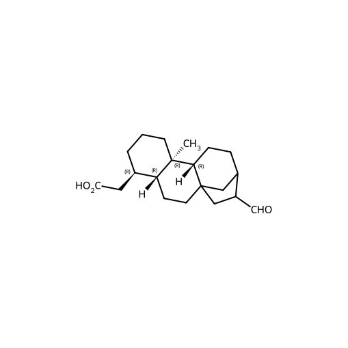 C[C@@]12CCC[C@H](CC(=O)O)[C@H]1CCC13CC(C=O)C(CC[C@H]12)C3